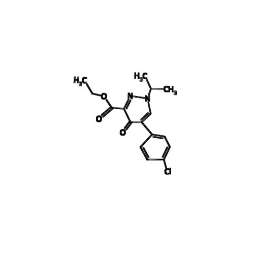 CCOC(=O)c1nn(C(C)C)cc(-c2ccc(Cl)cc2)c1=O